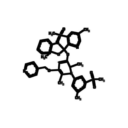 CCOC(OC1=[C]C(OCc2ccncc2)=C(C)N(c2cc(C)cc(S(C)(=O)=O)c2)C1C)(Oc1ccccc1)c1ncc(C)cc1S(C)(=O)=O